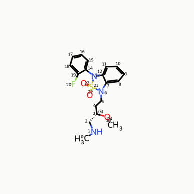 CNC[C@H](CCN1c2ccccc2N(c2ccccc2F)S1(=O)=O)OC